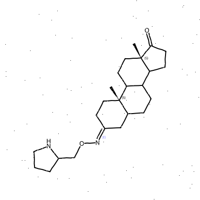 C[C@]12CC/C(=N\OCC3CCCN3)CC1CCC1C2CC[C@]2(C)C(=O)CCC12